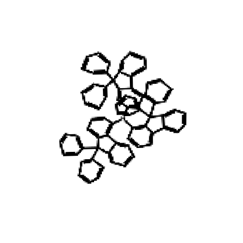 c1ccc(C2(c3ccccc3)c3ccccc3-c3ccc(N(c4cccc5c4-c4ccccc4C5(c4ccccc4)c4ccccc4)c4cccc5c4C(c4ccccc4)(c4ccccc4)c4ccccc4-5)cc32)cc1